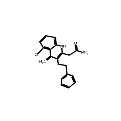 C=C1C(CCc2ccccc2)=C(CC(N)=O)Nc2cccc(Cl)c21